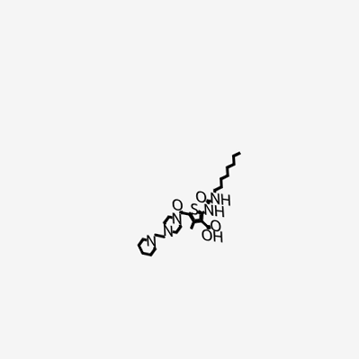 CCCCCCCCNC(=O)Nc1sc(C(=O)N2CCN(CCN3CCCCC3)CC2)c(C)c1C(=O)O